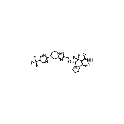 O=c1[nH]ncc(N2CCC[C@@H]2COCc2nc3n(n2)CCN(c2ncc(C(F)(F)F)cn2)C3)c1C(F)(F)F